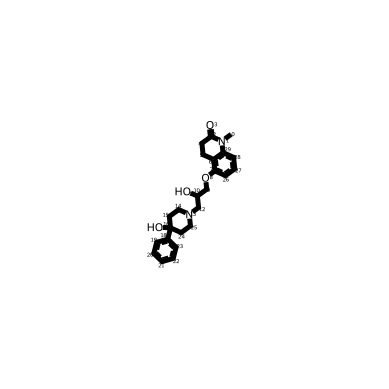 CN1C(=O)CCc2c(OCC(O)CN3CCC(O)(c4ccccc4)CC3)cccc21